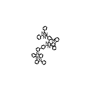 c1ccc(-c2cc(-c3cc(-c4nc(-c5ccccc5)nc(-c5ccccc5)n4)ccc3-n3c4ccccc4c4ccccc43)nc(-c3ccc(-c4cccc(N5c6ccccc6B6c7ccccc7N(c7ccccc7)c7cccc5c76)c4)cc3)n2)cc1